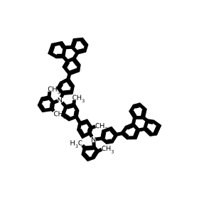 Cc1cc(-c2ccc(N(c3ccc(-c4ccc5c6ccccc6c6ccccc6c5c4)cc3)c3c(C)cccc3C)c(C)c2)ccc1N(c1ccc(-c2ccc3c4ccccc4c4ccccc4c3c2)cc1)c1c(C)cccc1C